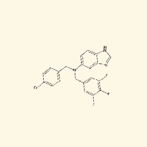 CCc1ccc(CN(Cc2cc(F)c(F)c(F)c2)c2ccc3[nH]cnc3c2)cc1